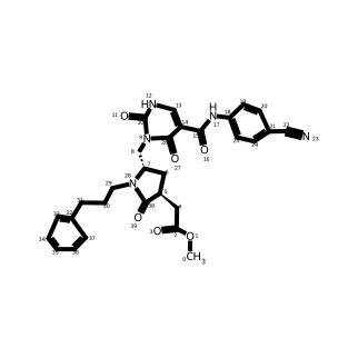 COC(=O)C[C@@H]1C[C@@H](Cn2c(=O)[nH]cc(C(=O)Nc3ccc(C#N)cc3)c2=O)N(CCCc2ccccc2)C1=O